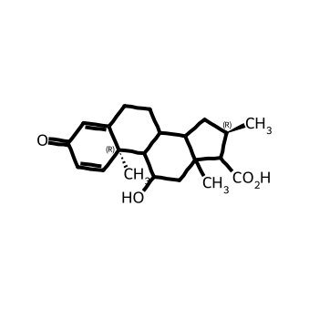 C[C@@H]1CC2C3CCC4=CC(=O)C=C[C@]4(C)C3C(O)CC2(C)C1C(=O)O